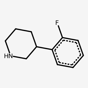 Fc1ccccc1C1CCCNC1